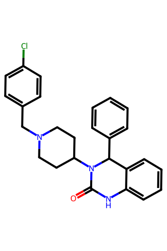 O=C1Nc2ccccc2C(c2ccccc2)N1C1CCN(Cc2ccc(Cl)cc2)CC1